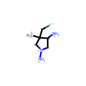 CC1(CF)CN(N)CC1N